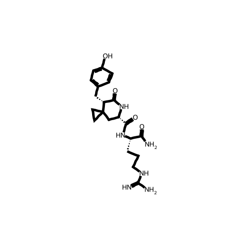 N=C(N)NCCC[C@H](NC(=O)[C@@H]1CC2(CC2)[C@H](Cc2ccc(O)cc2)C(=O)N1)C(N)=O